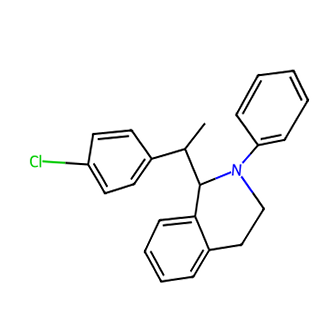 CC(c1ccc(Cl)cc1)C1c2ccccc2CCN1c1ccccc1